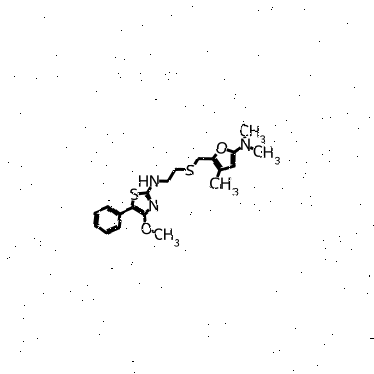 COc1nc(NCCSCc2oc(N(C)C)cc2C)sc1-c1ccccc1